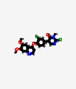 COc1cc2nccc(Oc3ccc(-c4cnc(Cl)n(C)c4=O)cc3F)c2cc1OC